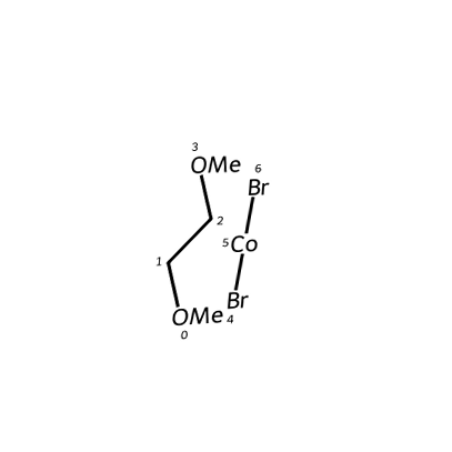 COCCOC.[Br][Co][Br]